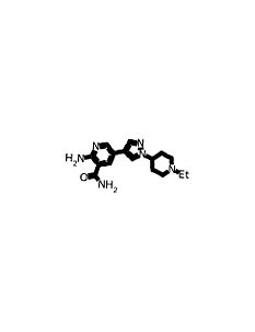 CCN1CCC(n2cc(-c3cnc(N)c(C(N)=O)c3)cn2)CC1